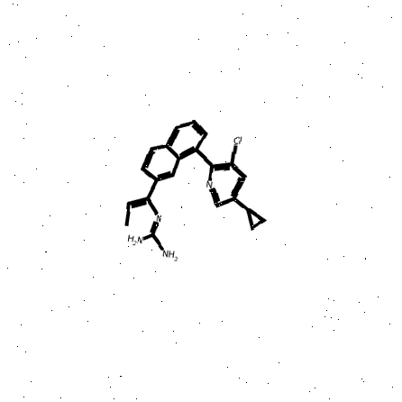 CC=C(N=C(N)N)c1ccc2cccc(-c3ncc(C4CC4)cc3Cl)c2c1